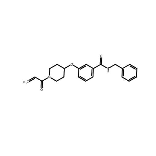 C=CC(=O)N1CCC(Oc2cccc(C(=O)NCc3ccccc3)c2)CC1